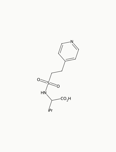 CC(C)C(NS(=O)(=O)CCc1ccncc1)C(=O)O